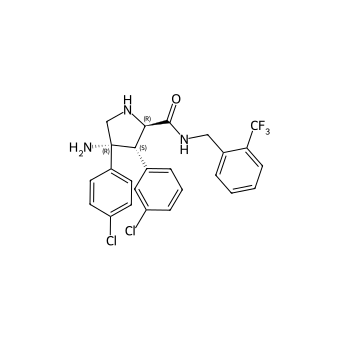 N[C@]1(c2ccc(Cl)cc2)CN[C@@H](C(=O)NCc2ccccc2C(F)(F)F)[C@@H]1c1cccc(Cl)c1